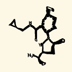 NC(=O)C1CC(=O)N(c2ccc(Cl)cc2C(=O)NCC2CC2)N1